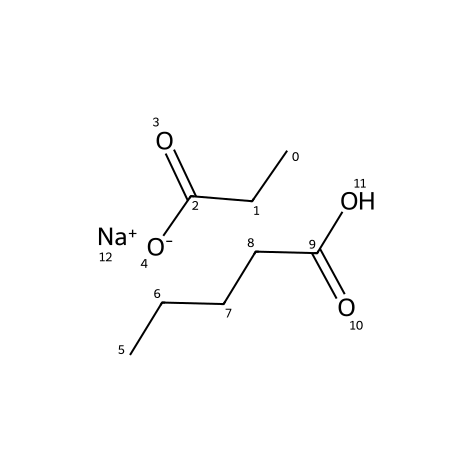 CCC(=O)[O-].CCCCC(=O)O.[Na+]